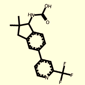 CC1(C)Cc2cc(-c3ccnc(C(F)(F)F)c3)ccc2C1NC(=O)O